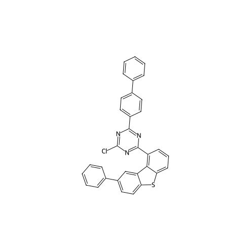 Clc1nc(-c2ccc(-c3ccccc3)cc2)nc(-c2cccc3sc4ccc(-c5ccccc5)cc4c23)n1